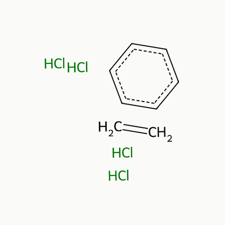 C=C.Cl.Cl.Cl.Cl.c1ccccc1